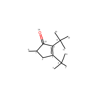 CC1CC(C(C)(C)C)=C(C(C)(C)C)C1=O